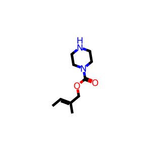 CC=C(C)COC(=O)N1CCNCC1